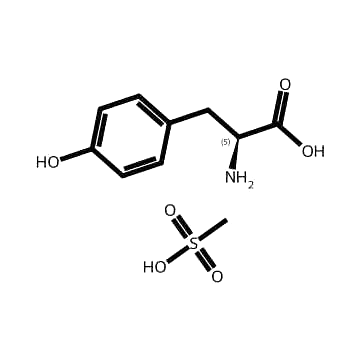 CS(=O)(=O)O.N[C@@H](Cc1ccc(O)cc1)C(=O)O